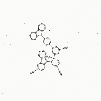 CC1(c2cc(C#N)cc(-c3ccc(-n4c5ccccc5c5ccccc54)cc3)c2)C=CC(C#N)=CC1n1c2ccccc2c2cc(C#N)ccc21